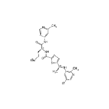 Cc1cc(NC(=O)[C@H](CCC(C)(C)C)NC(=O)c2ccc([C@H](C)Nc3cc(Cl)cnc3C)s2)ccn1